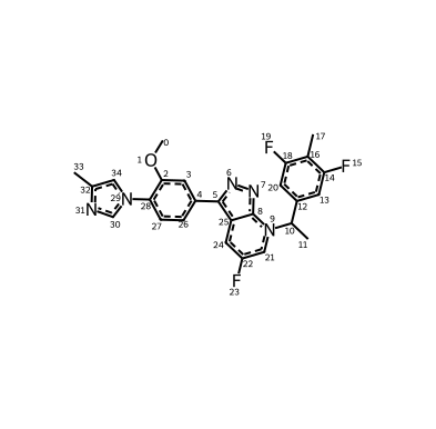 COc1cc(-c2nnc3n(C(C)c4cc(F)c(C)c(F)c4)cc(F)cc2-3)ccc1-n1cnc(C)c1